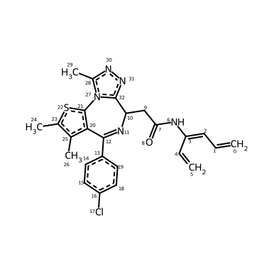 C=C/C=C(\C=C)NC(=O)CC1N=C(c2ccc(Cl)cc2)c2c(sc(C)c2C)-n2c(C)nnc21